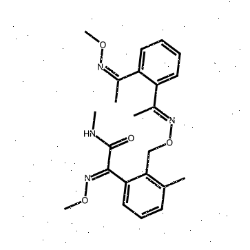 CNC(=O)/C(=N/OC)c1cccc(C)c1CO/N=C(\C)c1ccccc1/C(C)=N\OC